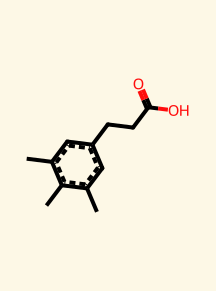 Cc1cc(CCC(=O)O)cc(C)c1C